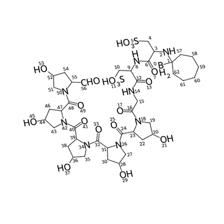 BC1(NC(CS(=O)(=O)O)C(=O)NC(CS(=O)(=O)O)C(=O)NCC(=O)N2CC(O)CC2C(=O)N2CC(O)CC2C(=O)N2CC(O)CC2C(=O)N2CC(O)CC2C(=O)N2CC(O)CC2C=O)CCCCCC1